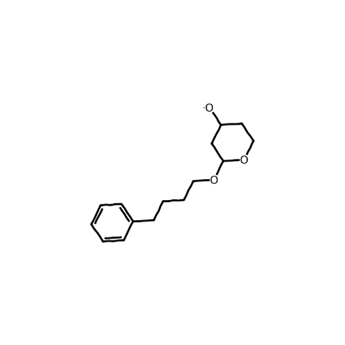 [O]C1CCOC(OCCCCc2ccccc2)C1